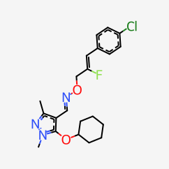 Cc1nn(C)c(OC2CCCCC2)c1C=NOCC(F)=Cc1ccc(Cl)cc1